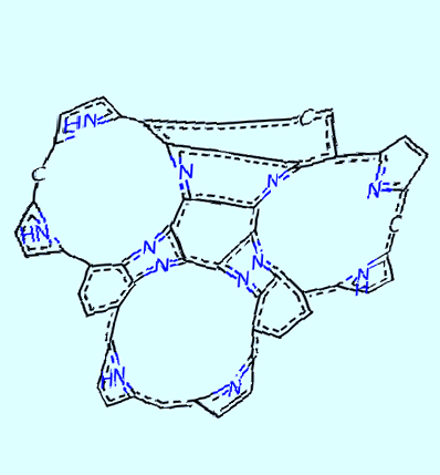 C1=Cc2nc1cc1ccc([nH]1)c1ccc3c4nc(cc5ccc([nH]5)c5ccc6c7nc8c9nc%10c(ccc2c%10nc9c2nc1c3nc2c8nc75)-c1ccc([nH]1)Cc1ccc-6[nH]1)C=C4